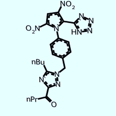 CCCCc1nc(C(=O)CCC)nn1Cc1ccc(-n2c([N+](=O)[O-])cc([N+](=O)[O-])c2-c2nnn[nH]2)cc1